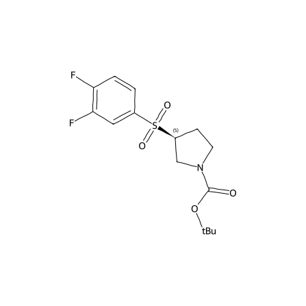 CC(C)(C)OC(=O)N1CC[C@H](S(=O)(=O)c2ccc(F)c(F)c2)C1